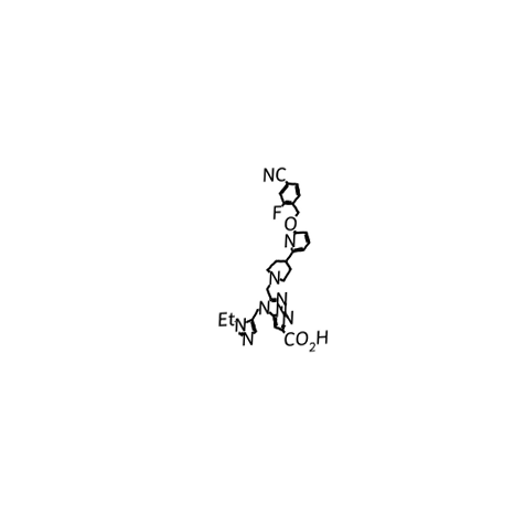 CCn1cncc1Cn1c(CN2CCC(c3cccc(OCc4ccc(C#N)cc4F)n3)CC2)nn2nc(C(=O)O)cc12